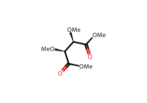 COC(=O)[C@@H](OC)[C@@H](OC)C(=O)OC